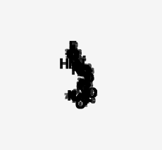 C[C@H]1COC(CN(C)C)CN1C(=O)c1cc(Oc2ccc3c(c2)nc(Nc2ccc(F)cc2)n3C)ccn1